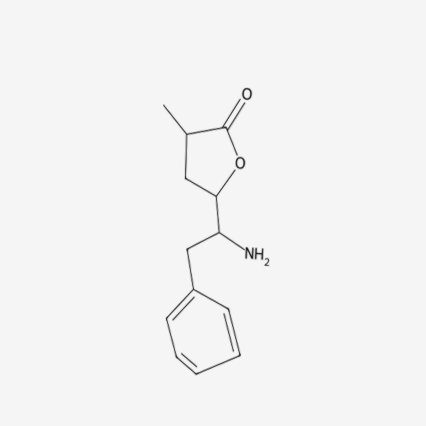 CC1CC(C(N)Cc2ccccc2)OC1=O